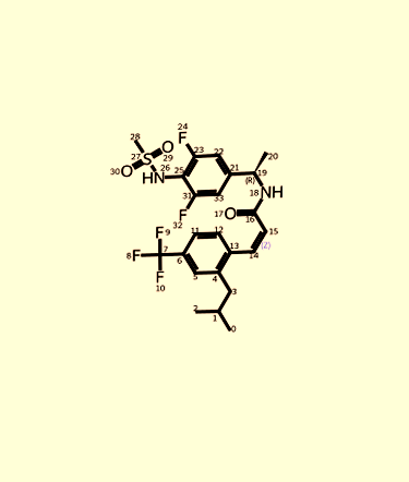 CC(C)Cc1cc(C(F)(F)F)ccc1/C=C\C(=O)N[C@H](C)c1cc(F)c(NS(C)(=O)=O)c(F)c1